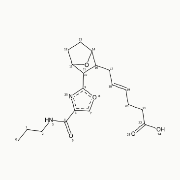 CCCNC(=O)c1coc(C2C3CCC(O3)C2CC=CCCC(=O)O)n1